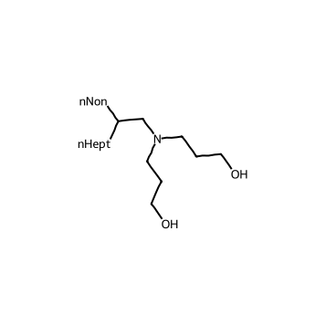 CCCCCCCCCC(CCCCCCC)CN(CCCO)CCCO